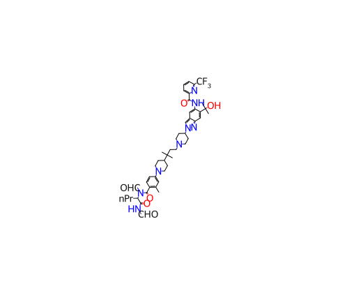 CCCC(C(=O)NC=O)N(C=O)C(=O)c1ccc(N2CCC(C(C)(C)CCN3CCC(n4cc5cc(NC(=O)c6cccc(C(F)(F)F)n6)c(C(C)(C)O)cc5n4)CC3)CC2)cc1C